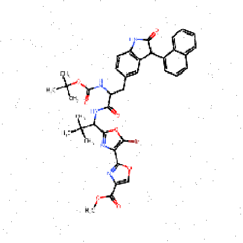 COC(=O)c1coc(-c2nc(C(NC(=O)C(Cc3ccc4c(c3)C(c3cccc5ccccc35)C(=O)N4)NC(=O)OC(C)(C)C)C(C)(C)C)oc2Br)n1